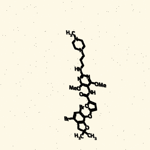 COc1nc(NCCCN2CCN(C)CC2)nc(OC)c1NC(=O)c1ccc(Oc2c(Br)cc(Br)c3c2OC(C)(C)C3)o1